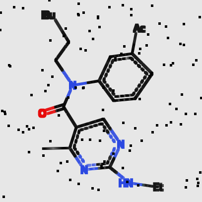 CCNc1ncc(C(=O)N(CCC(C)CC)c2cccc(C(C)=O)c2)c(C)n1